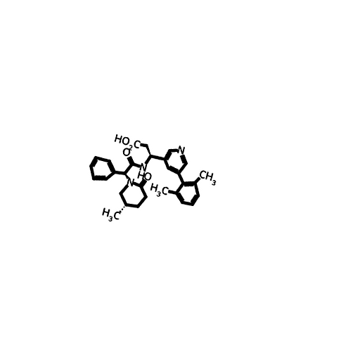 Cc1cccc(C)c1-c1cncc([C@H](CC(=O)O)NC(=O)[C@H](c2ccccc2)N2C[C@@H](C)CCC2=O)c1